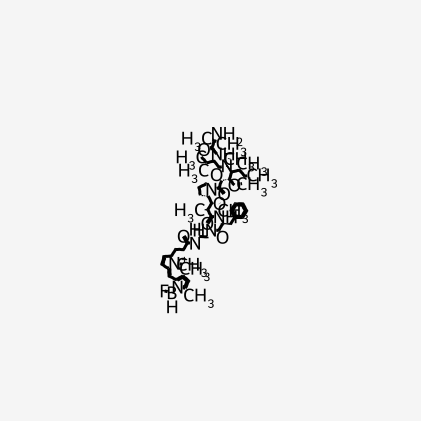 CC[C@H](C)[C@@H]([C@@H](CC(=O)N1CCC[C@H]1[C@H](OC)[C@@H](C)C(=O)N[C@@H](Cc1ccccc1)C(=O)NCCNC(=O)CCC1=[N+](C)/C(=C\c2c(C)cc(C)n2BF)C=C1)OC)N(C)C(=O)[C@@H](NC(=O)C(C)(C)N)C(C)C